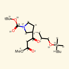 COC(=O)CC(=O)[C@]1(CCCO[Si](C)(C)C(C)(C)C)CCN(C(=O)OC(C)(C)C)C1